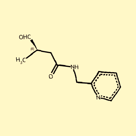 C[C@@H](C=O)CC(=O)NCc1ccccn1